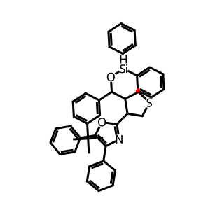 CC(C)(C)c1cccc(C(O[SiH](c2ccccc2)c2ccccc2)C2CSCC2c2nc(-c3ccccc3)c(-c3ccccc3)o2)c1